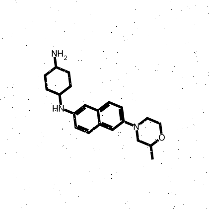 CC1CN(c2ccc3cc(NC4CCC(N)CC4)ccc3c2)CCO1